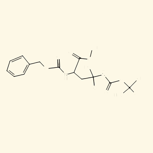 COC(=O)C(CC(C)(C)NC(=O)OC(C)(C)C)NC(=O)OCc1ccccc1